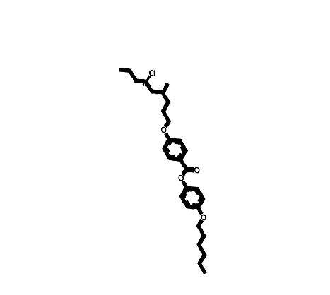 CCCCCCOc1ccc(OC(=O)c2ccc(OCCCC(C)C[C@H](Cl)CCC)cc2)cc1